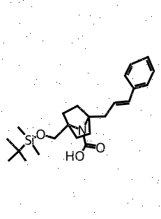 CC(C)(C)[Si](C)(C)OCC12CCC(CC=Cc3ccccc3)(CC1)N2C(=O)O